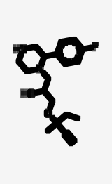 C#CC(C)(CC)OCC(O)CN1CCNCC1c1ccc(F)cc1